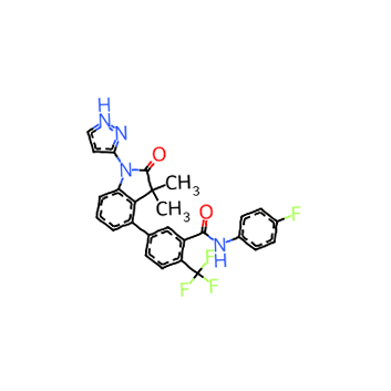 CC1(C)C(=O)N(c2cc[nH]n2)c2cccc(-c3ccc(C(F)(F)F)c(C(=O)Nc4ccc(F)cc4)c3)c21